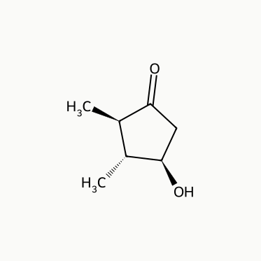 C[C@H]1[C@H](O)CC(=O)[C@@H]1C